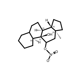 C[C@@]12CCC[C@H]1[C@@H]1CCC3CCCC[C@@H]3[C@@]1(O)C(O[N+](=O)[O-])C2